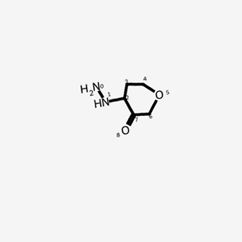 NNC1CCOCC1=O